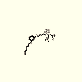 CCCCCCOc1cccc(OCCCCCN([C@H](CC(=O)[O-])C[N+](C)(C)C)S(=O)(=O)NC)c1